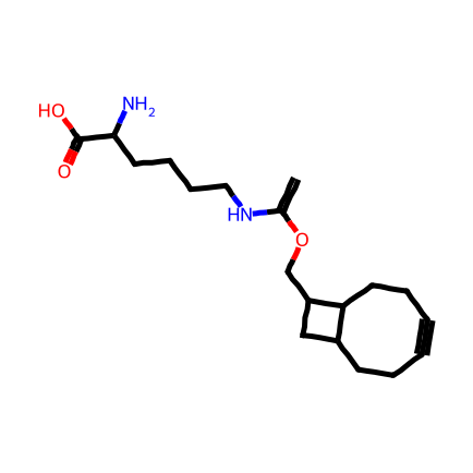 C=C(NCCCCC(N)C(=O)O)OCC1CC2CCC#CCCC21